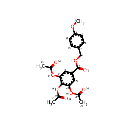 COc1ccc(COC(=O)c2cc(OC(C)=O)c(OC(C)=O)c(OC(C)=O)c2)cc1